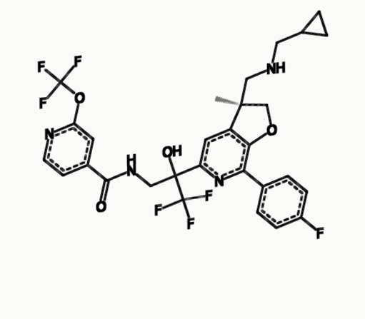 C[C@]1(CNCC2CC2)COc2c1cc(C(O)(CNC(=O)c1ccnc(OC(F)(F)F)c1)C(F)(F)F)nc2-c1ccc(F)cc1